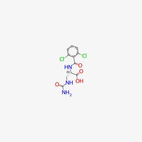 NC(=O)NC[C@H](NC(=O)c1c(Cl)cccc1Cl)C(=O)O